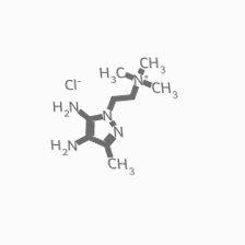 Cc1nn(CC[N+](C)(C)C)c(N)c1N.[Cl-]